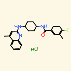 Cc1cc(C(=O)NC2CCC(Nc3cc(C)c4ccccc4n3)CC2)ccc1F.Cl